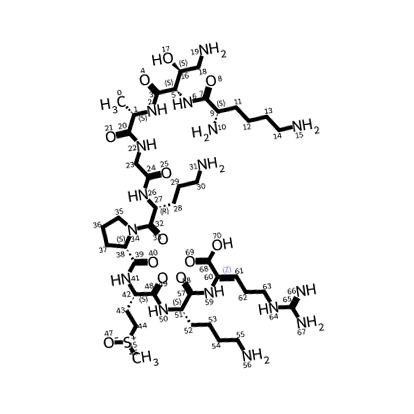 C[C@H](NC(=O)[C@@H](NC(=O)[C@@H](N)CCCCN)[C@@H](O)CN)C(=O)NCC(=O)N[C@H](CCCN)C(=O)N1CCC[C@H]1C(=O)N[C@@H](CC[S+](C)[O-])C(=O)N[C@@H](CCCCN)C(=O)N/C(=C\CCNC(=N)N)C(=O)O